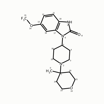 CC1(N2CCC(n3c(=O)[nH]c4ccc(OC(F)(F)F)cc43)CC2)CCOCC1